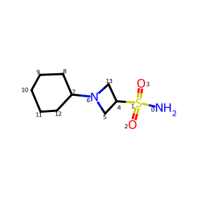 NS(=O)(=O)C1CN(C2CCCCC2)C1